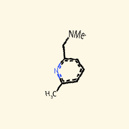 C[N]Cc1cccc(C)n1